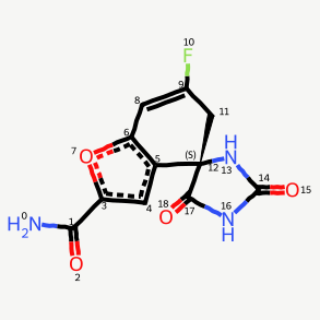 NC(=O)c1cc2c(o1)C=C(F)C[C@]21NC(=O)NC1=O